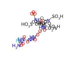 CC1(C)C(/C=C/C2=C(Oc3ccc(C[C@H](NC(=O)CCOCCOCCNC(=O)N4CCN(C(=O)C[C@@H]5C[C@@H](C(=O)N6CC(F)(F)C[C@H]6C(N)=O)NC5=O)CC4)C(=O)O)cc3)C(=C/C=C3/N(CCCCS(=O)(=O)O)c4ccc(S(=O)(=O)O)cc4C3(C)C)/CCC2)=[N+](CCCCS(=O)(=O)[O-])c2ccc(S(=O)(=O)O)cc21